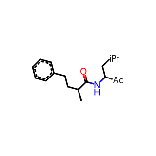 CC(=O)[C@H](CC(C)C)NC(=O)[C@@H](C)CCc1ccccc1